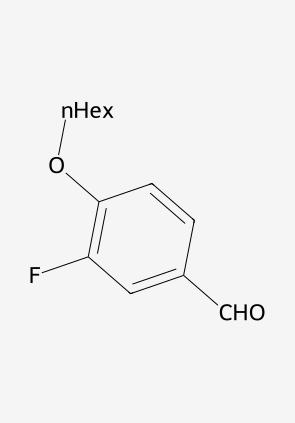 CCCCCCOc1ccc(C=O)cc1F